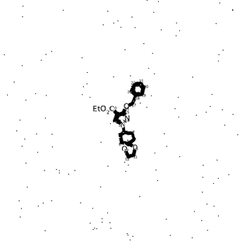 CCOC(=O)c1cn(C2CCC3(CC2)OCCO3)nc1OCc1ccccc1